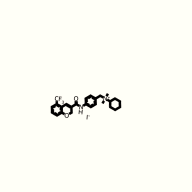 C[N+](C)(Cc1ccc(NC(=O)C2=Cc3c(cccc3C(F)(F)F)OC2)cc1)C1CCCCC1.[I-]